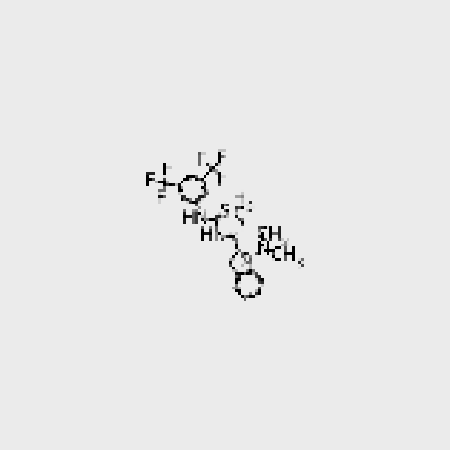 CC[C@@H](NC(=S)Nc1cc(C(F)(F)F)cc(C(F)(F)F)c1)C1Cc2ccccc2[C@H]1N(C)C